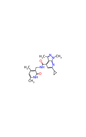 Cc1cc(C)c(CNC(=O)c2cc(C3CC3)nc3c2c(C)nn3C)c(=O)[nH]1